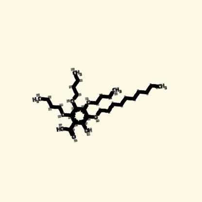 CCCCCCCCCCOc1c(O)c(C(=O)O)c(OCCCC)c(OCCCC)c1OCCCC